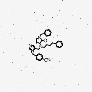 N#Cc1ccc(Cn2cncc2CN(CCCCc2ccccc2)C2CCN(Cc3ccccc3)C2=O)cc1